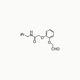 CC(C)CNC(=O)COc1ccccc1OCC=O